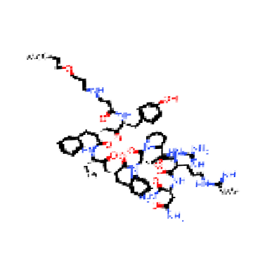 CNC(=N)NCCC[C@H](NC(=O)[C@@H]1CCCN1C(=O)[C@H](CCCNC(=N)N)NC(=O)[C@@H](CC(=O)[C@H](CC(C)C)NC(=O)[C@@H](CC(=O)[C@H](Cc1ccc(O)cc1)NC(=O)CCNCCCOCCOC)Cc1ccccc1)Cc1ccccc1)C(=O)N[C@@H](CC(N)=O)C(N)=O